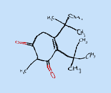 CC1C(=O)CC(C(C)(C)C)=C(C(C)(C)C)C1=O